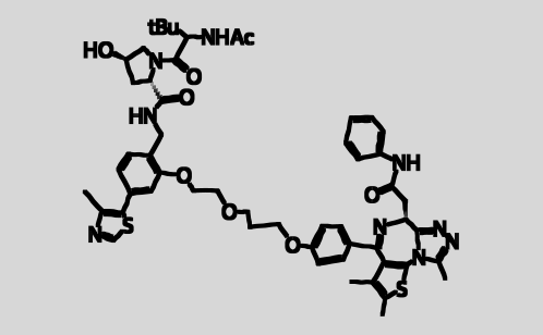 CC(=O)NC(C(=O)N1C[C@H](O)C[C@H]1C(=O)NCc1ccc(-c2scnc2C)cc1OCCOCCCOc1ccc(C2=N[C@@H](CC(=O)Nc3ccccc3)c3nnc(C)n3-c3sc(C)c(C)c32)cc1)C(C)(C)C